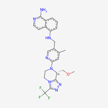 COC[C@@H]1c2nnc(C(F)(F)F)n2CCN1c1cc(C)c(CNc2cccc3c(N)nccc23)cn1